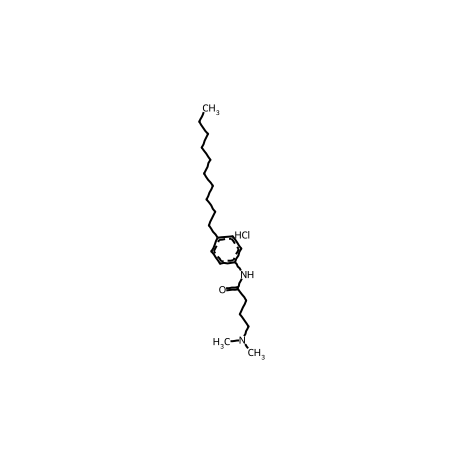 CCCCCCCCCCc1ccc(NC(=O)CCCN(C)C)cc1.Cl